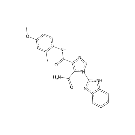 COc1ccc(NC(=O)c2ncn(-c3nc4ccccc4[nH]3)c2C(N)=O)c(C)c1